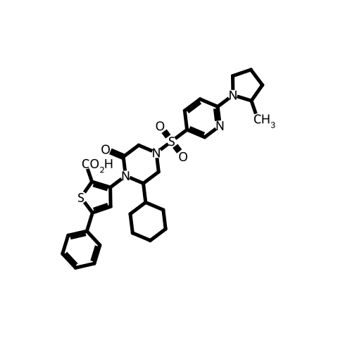 CC1CCCN1c1ccc(S(=O)(=O)N2CC(=O)N(c3cc(-c4ccccc4)sc3C(=O)O)C(C3CCCCC3)C2)cn1